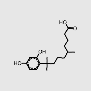 CC(CCCC(=O)O)CCCC(C)(C)c1ccc(O)cc1O